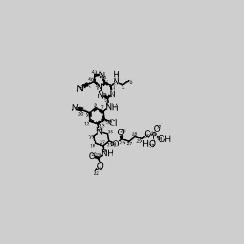 CCNc1nc(Nc2cc(C#N)cc(N3CCC(NC(=O)OC)C(OC(=O)CCCOP(=O)(O)O)C3)c2Cl)nn2c(C#N)cnc12